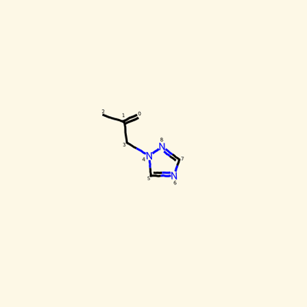 C=C(C)Cn1cncn1